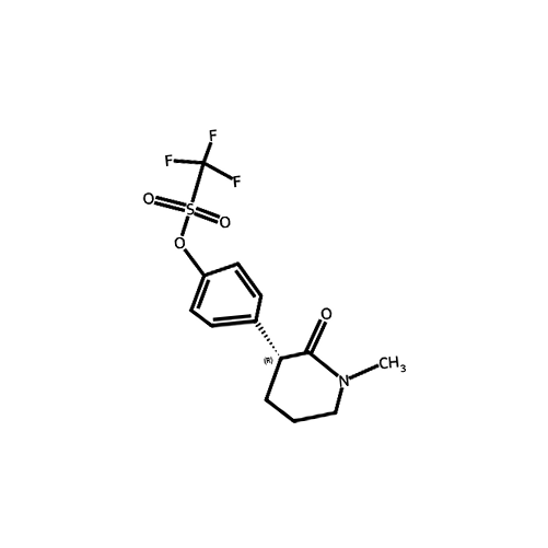 CN1CCC[C@H](c2ccc(OS(=O)(=O)C(F)(F)F)cc2)C1=O